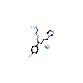 Cl.Cl.NCCON=C(CCCn1ccnc1)c1ccc(Cl)cc1